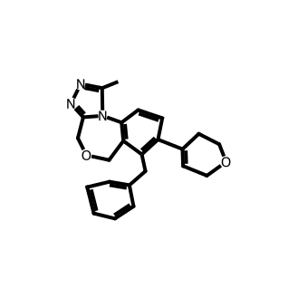 Cc1nnc2n1-c1ccc(C3=CCOCC3)c(Cc3ccccc3)c1COC2